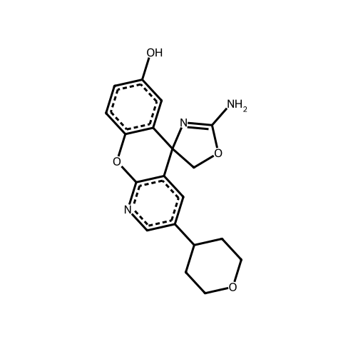 NC1=NC2(CO1)c1cc(O)ccc1Oc1ncc(C3CCOCC3)cc12